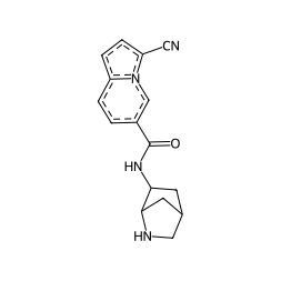 N#Cc1ccc2ccc(C(=O)NC3CC4CNC3C4)cn12